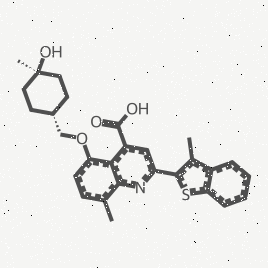 Cc1c(-c2cc(C(=O)O)c3c(OC[C@H]4CC[C@](C)(O)CC4)ccc(C)c3n2)sc2ccccc12